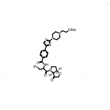 COCCN1CCN(c2nc(-c3ccc(C(=O)NC(CC(C)C)C(=O)N4CC[C@H]5OCC(=O)[C@H]54)cc3)cs2)CC1